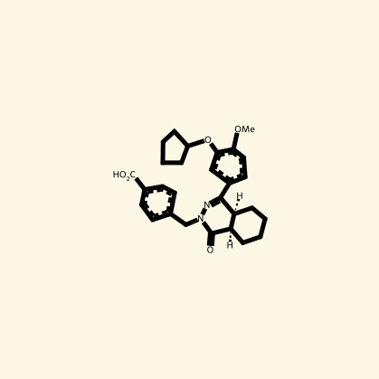 COc1ccc(C2=NN(Cc3ccc(C(=O)O)cc3)C(=O)[C@@H]3CCCC[C@H]23)cc1OC1CCCC1